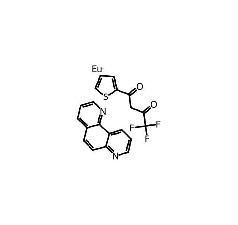 O=C(CC(=O)C(F)(F)F)c1cccs1.[Eu].c1cnc2c(c1)ccc1ncccc12